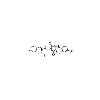 C[C@@H](C1CC1)N(Cc1ccc(F)cc1)C(=O)CN1C(=O)NC2(CCc3cc(Br)ccc3C2)C1=O